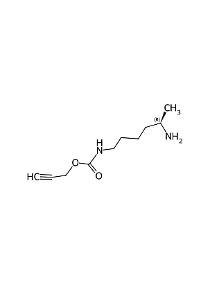 C#CCOC(=O)NCCCC[C@@H](C)N